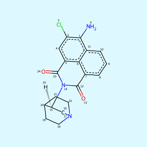 Nc1c(Cl)cc2c3c(cccc13)C(=O)N([C@H]1CN3CCC1CC3)C2=O